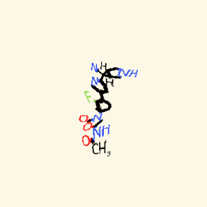 CC(=O)NC1CN(c2ccc(-c3ccc([C@@]4(C#N)[C@@H]5CNC[C@@H]54)nc3)c(F)c2)C(=O)O1